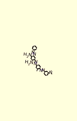 Cc1cc(/N=N/c2cc(/N=N/c3ccccc3)c(N)cc2N)ccc1/N=N/c1cccc(N(C)C)c1